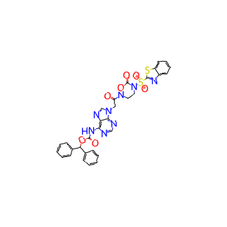 O=C(Nc1ncnc2c1ncn2CC(=O)N1CCN(S(=O)(=O)c2nc3ccccc3s2)C(=O)O1)OC(c1ccccc1)c1ccccc1